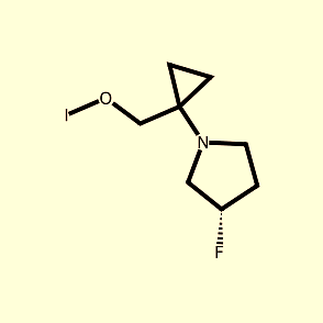 F[C@H]1CCN(C2(COI)CC2)C1